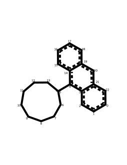 c1ccc2c([C]3CCCCCCCC3)c3ccccc3cc2c1